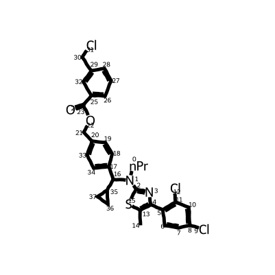 CCCN(c1nc(-c2ccc(Cl)cc2Cl)c(C)s1)C(c1ccc(COC(=O)c2cccc(CCl)c2)cc1)C1CC1